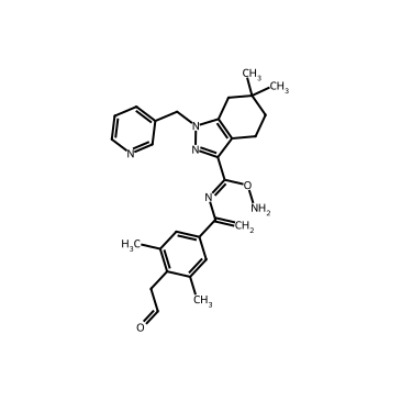 C=C(/N=C(\ON)c1nn(Cc2cccnc2)c2c1CCC(C)(C)C2)c1cc(C)c(CC=O)c(C)c1